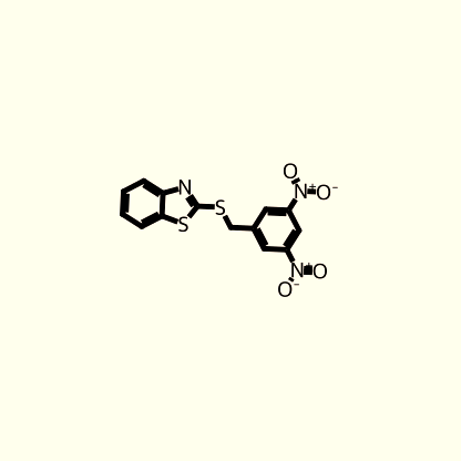 O=[N+]([O-])c1cc(CSc2nc3ccccc3s2)cc([N+](=O)[O-])c1